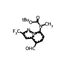 CN(C(=O)OC(C)(C)C)c1ccc(C=O)c2cc(C(F)(F)F)nn12